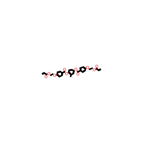 C=CC(=O)OCCOc1ccc(C(=O)Oc2ccc(OC(=O)c3ccc(OCCOC(=O)C=C)cc3)c(C)c2)cc1